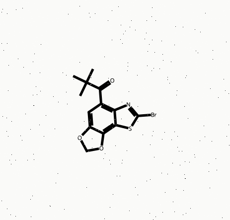 CC(C)(C)C(=O)c1cc2c(c3sc(Br)nc13)OCO2